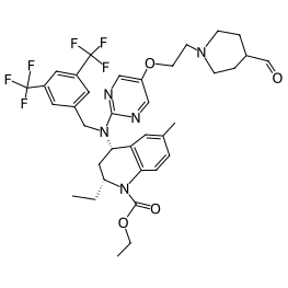 CCOC(=O)N1c2ccc(C)cc2[C@@H](N(Cc2cc(C(F)(F)F)cc(C(F)(F)F)c2)c2ncc(OCCN3CCC(C=O)CC3)cn2)C[C@H]1CC